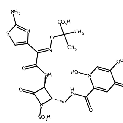 CC(C)(ON=C(C(=O)N[C@@H]1C(=O)N(S(=O)(=O)O)[C@H]1CNC(=O)c1cc(=O)c(O)cn1O)c1csc(N)n1)C(=O)O